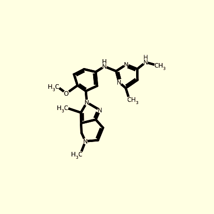 CNc1cc(C)nc(Nc2ccc(OC)c(-n3nc4c(c3C)CN(C)C=C4)c2)n1